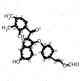 Cc1ccc(C(=O)c2sc3cc(O)ccc3c2Oc2ccc(/C=C/OC=O)cc2)c(C)c1C